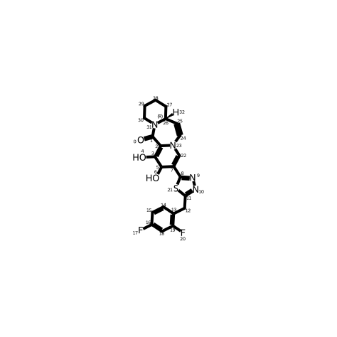 O=C1C2=C(O)C(O)C(c3nnc(Cc4ccc(F)cc4F)s3)=CN2C#C[C@H]2CCCCN12